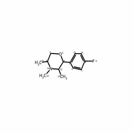 CC1COC(c2ccc(F)cc2)C(C)N1C